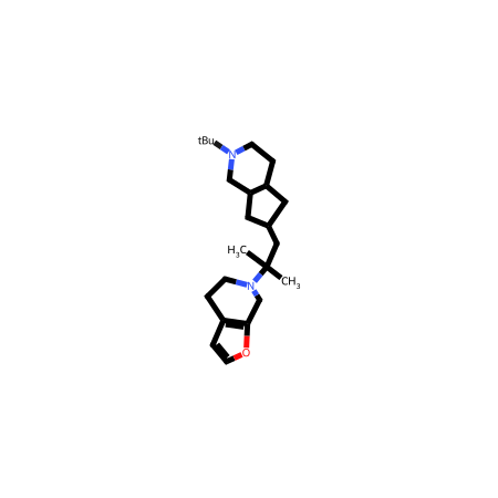 CC(C)(C)N1CCC2CC(CC(C)(C)N3CCc4ccoc4C3)CC2C1